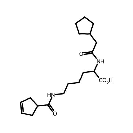 O=C(CC1CCCC1)NC(CCCCNC(=O)C1CC=CC1)C(=O)O